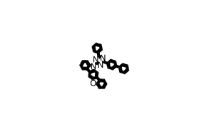 c1ccc(-c2ccc(-c3nc(-c4ccccc4)nc(-n4c5ccccc5c5cc6oc7ccccc7c6cc54)n3)cc2)cc1